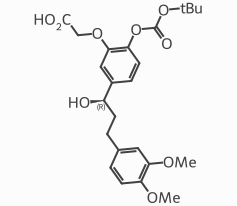 COc1ccc(CC[C@@H](O)c2ccc(OC(=O)OC(C)(C)C)c(OCC(=O)O)c2)cc1OC